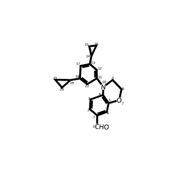 O=Cc1ccc2c(c1)OCCN2c1cc(C2CC2)cc(C2CC2)c1